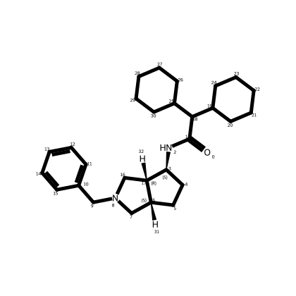 O=C(N[C@H]1CC[C@@H]2CN(Cc3ccccc3)C[C@@H]21)C(C1CCCCC1)C1CCCCC1